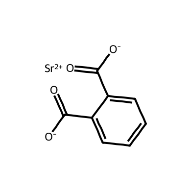 O=C([O-])c1ccccc1C(=O)[O-].[Sr+2]